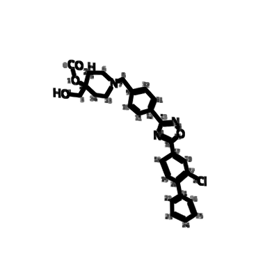 O=C(O)OC1(CO)CCN(Cc2ccc(-c3noc(-c4ccc(-c5ccccc5)c(Cl)c4)n3)cc2)CC1